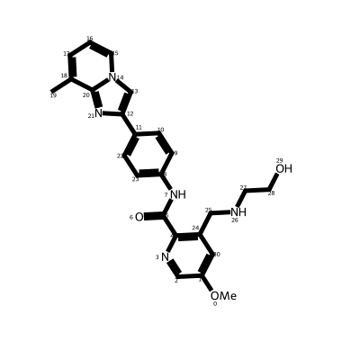 COc1cnc(C(=O)Nc2ccc(-c3cn4cccc(C)c4n3)cc2)c(CNCCO)c1